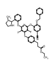 CCOC(=O)CCc1ccc(Sc2c(F)c(Oc3cc(C#N)ccc3OCc3ccccc3)nc(Oc3ccccc3C3NCCN3C)c2F)cc1